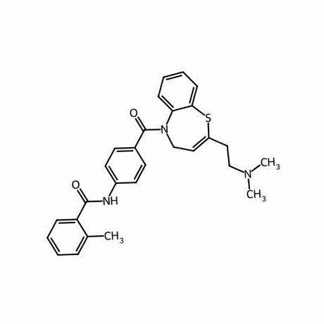 Cc1ccccc1C(=O)Nc1ccc(C(=O)N2CC=C(CCN(C)C)Sc3ccccc32)cc1